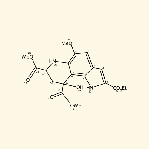 CCOC(=O)c1cc2cc(OC)c3c(c2[nH]1)C(O)(C(=O)OC)CC(C(=O)OC)N3